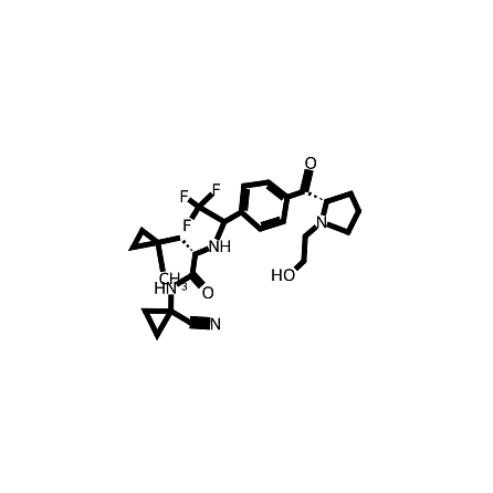 CC1(C[C@H](NC(c2ccc(C(=O)[C@@H]3CCCN3CCO)cc2)C(F)(F)F)C(=O)NC2(C#N)CC2)CC1